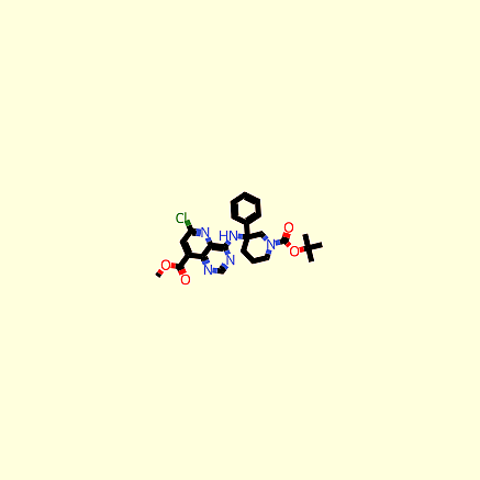 COC(=O)c1cc(Cl)nc2c(NC3(c4ccccc4)CCCN(C(=O)OC(C)(C)C)C3)ncnc12